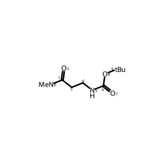 CNC(=O)CCNC(=O)OC(C)(C)C